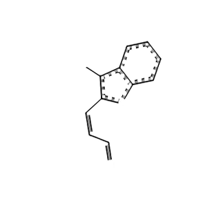 C=C/C=C\c1sc2ccccc2c1C